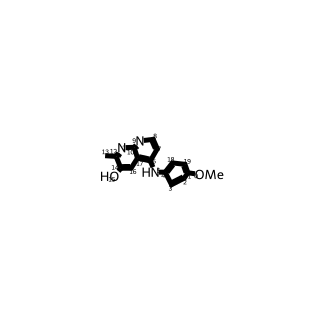 COc1ccc(Nc2ccnc3nc(C)c(O)cc23)cc1